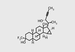 CC#C[C@@H](O)[C@@H](C)[C@H]1[C@H]2C[C@H]2[C@H]2[C@@H]3CC[C@@H]4C[C@@](O)(C(F)(F)F)CC[C@@H]4[C@H]3CC[C@@]21C